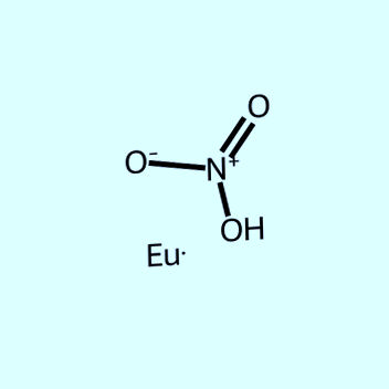 O=[N+]([O-])O.[Eu]